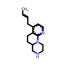 CC=CCc1ccnc2c1CCC1CNCCN21